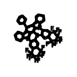 FC1(F)c2cc3c(cc2C(F)(F)C(F)(F)C1(F)F)-n1c2ccccc2c2c(-c4ccccc4)c4c5ccccc5n5c4c(c21)B3c1cc2c(cc1-5)C(F)(F)C(F)(F)C(F)(F)C2(F)F